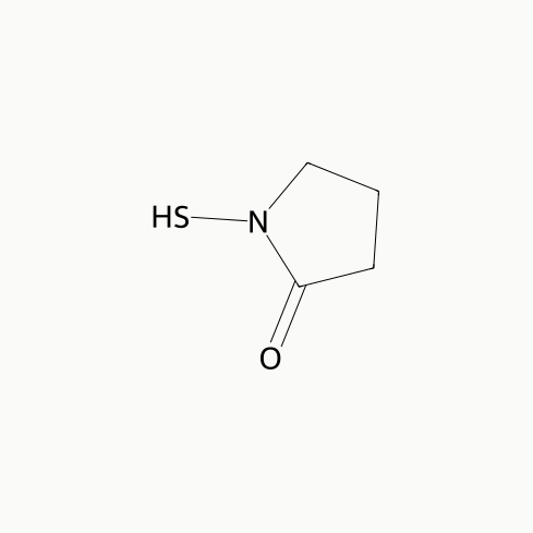 O=C1CCCN1S